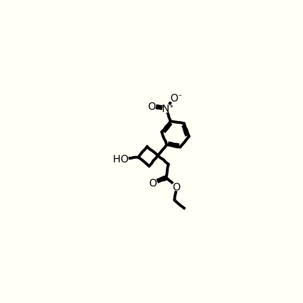 CCOC(=O)CC1(c2cccc([N+](=O)[O-])c2)CC(O)C1